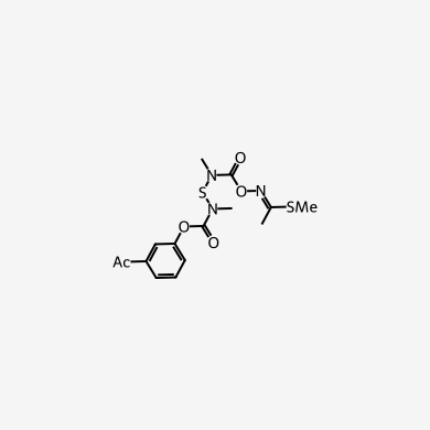 CSC(C)=NOC(=O)N(C)SN(C)C(=O)Oc1cccc(C(C)=O)c1